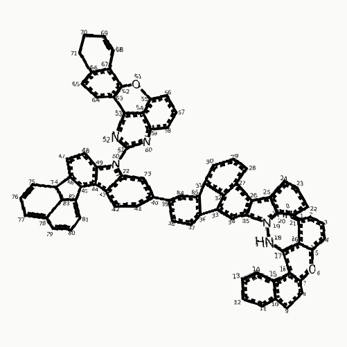 N=c1cccc2oc3ccc4ccccc4c3c(Nn3c4ccccc4c4c5cccc6c5c(cc43)-c3ccc(-c4ccc5c7c8c(ccc7n(-c7nc9c%10c(cccc%10n7)Oc7c-9ccc9c7C=CCC9)c5c4)C4C=CC=C5C=CC=C8C54)cc3-6)c1-2